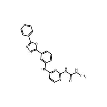 CNC(=O)Nc1nccc(Nc2cccc(-c3nnc(-c4ccccc4)o3)c2)n1